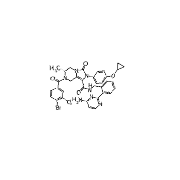 C[C@@H]1Cn2c(c(C(=O)NCc3ccccc3-c3nccc(N)n3)n(-c3ccc(OC4CC4)cc3)c2=O)CN1C(=O)c1ccc(Br)c(Cl)c1